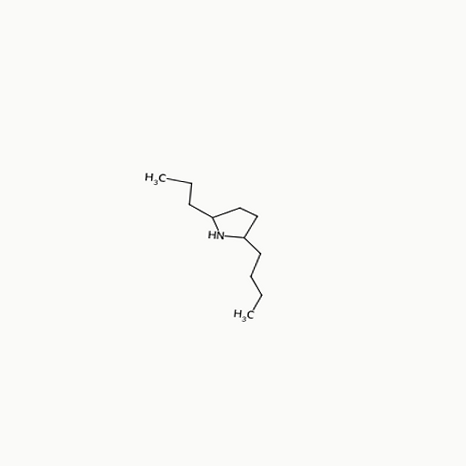 CCCCC1CCC(CCC)N1